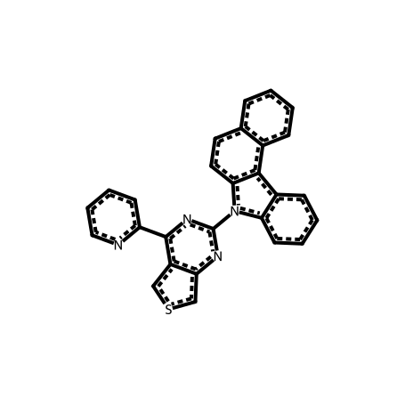 c1ccc(-c2nc(-n3c4ccccc4c4c5ccccc5ccc43)nc3cscc23)nc1